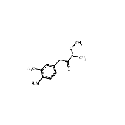 CON(C)C(=O)Cc1ccc(N)c(C)c1